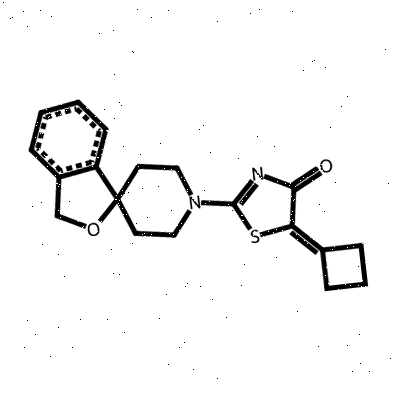 O=C1N=C(N2CCC3(CC2)OCc2ccccc23)SC1=C1CCC1